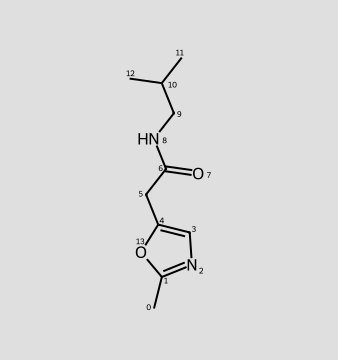 Cc1ncc(CC(=O)NCC(C)C)o1